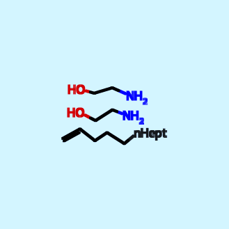 C=CCCCCCCCCCC.NCCO.NCCO